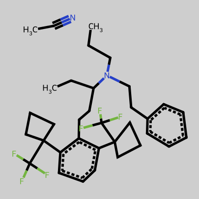 CC#N.CCCN(CCc1ccccc1)C(CC)CCc1c(C2(C(F)(F)F)CCC2)cccc1C1(C(F)(F)F)CCC1